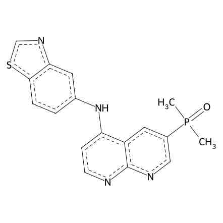 CP(C)(=O)c1cnc2nccc(Nc3ccc4scnc4c3)c2c1